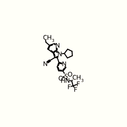 CCc1cnc2c(c1)c(C#N)c(-c1ccc(S(=O)(=O)N[C@@H](C)C(F)(F)F)cn1)n2C1CCCC1